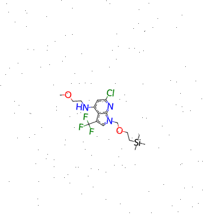 COCCNc1cc(Cl)nc2c1c(C(F)(F)F)cn2COCC[Si](C)(C)C